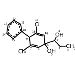 CCC(O)C1(O)C=C(Cl)C(c2ccccc2)C(Cl)=C1